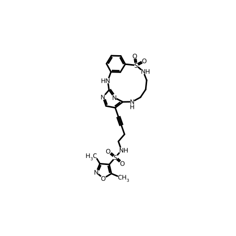 Cc1noc(C)c1S(=O)(=O)NCCC#Cc1cnc2nc1NCCCNS(=O)(=O)c1cccc(c1)N2